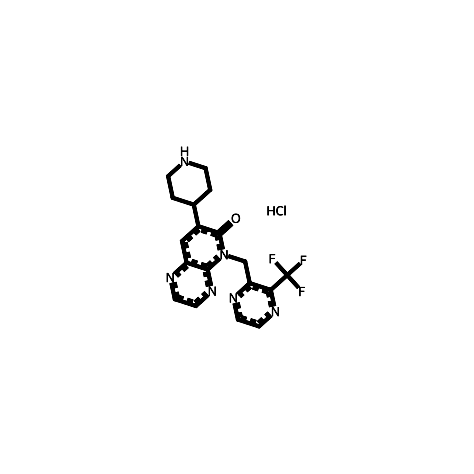 Cl.O=c1c(C2CCNCC2)cc2nccnc2n1Cc1nccnc1C(F)(F)F